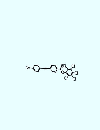 N#Cc1ccc(C#Cc2ccc(C(=O)Oc3c(Cl)c(Cl)c(Cl)c(Cl)c3Cl)cc2)cc1